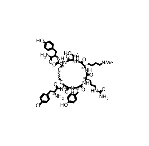 CNCCCC[C@@H]1NC(=O)[C@@H](CCCNC(N)=O)NC(=O)[C@H](Cc2ccc(O)cc2)NC(=O)[C@H](NC(=O)[C@@H](N)Cc2ccc(Cl)cc2)CSSC[C@@H](C(=O)NC(Cc2ccc(O)cc2)C(N)=O)NC(=O)[C@H]([C@@H](C)O)NC1=O